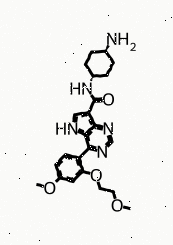 COCCOc1cc(OC)ccc1-c1ncnc2c(C(=O)N[C@H]3CC[C@H](N)CC3)c[nH]c12